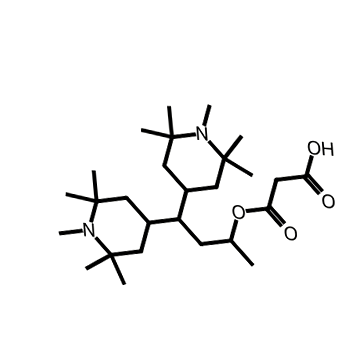 CC(CC(C1CC(C)(C)N(C)C(C)(C)C1)C1CC(C)(C)N(C)C(C)(C)C1)OC(=O)CC(=O)O